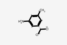 Cc1cccc(N)c1.ClCCl